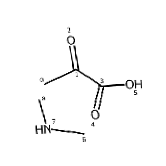 CC(=O)C(=O)O.CNC